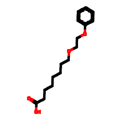 O=C(O)CCCCCCCOCCOc1ccccc1